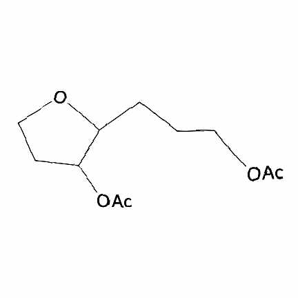 CC(=O)OCCCC1OCCC1OC(C)=O